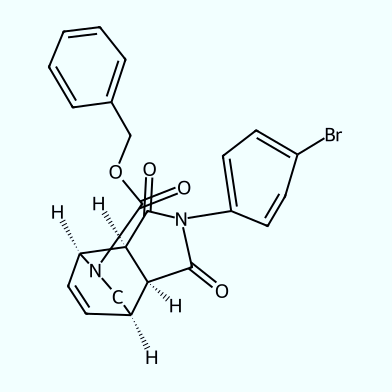 O=C1[C@@H]2[C@H](C(=O)N1c1ccc(Br)cc1)[C@@H]1C=C[C@H]2CN1C(=O)OCc1ccccc1